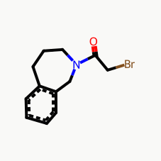 O=C(CBr)N1CCCc2ccccc2C1